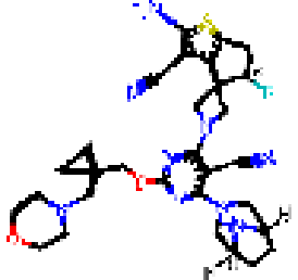 N#Cc1c(N2C[C@H]3CC[C@@H](C2)N3)nc(OCC2(CN3CCOCC3)CC2)nc1N1CC2(C1)c1c(sc(N)c1C#N)C[C@H]2F